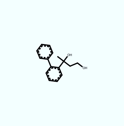 CC(O)(CCO)c1ccccc1-c1ccccc1